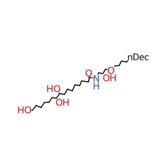 CCCCCCCCCCCCCCOCC(O)CNC(=O)CCCCCCCC(O)C(O)CCCCCCO